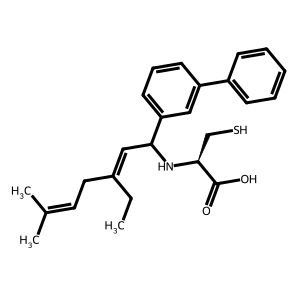 CCC(=CC(N[C@@H](CS)C(=O)O)c1cccc(-c2ccccc2)c1)CC=C(C)C